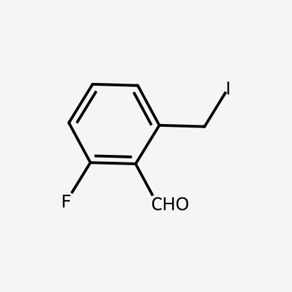 O=Cc1c(F)cccc1CI